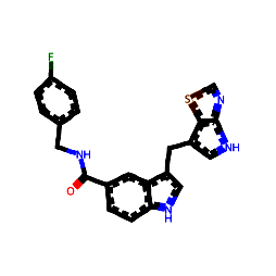 O=C(NCc1ccc(F)cc1)c1ccc2[nH]cc(Cc3c[nH]c4ncsc34)c2c1